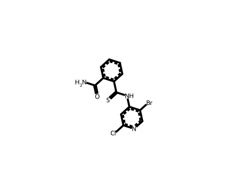 NC(=O)c1ccccc1C(=S)Nc1cc(Cl)ncc1Br